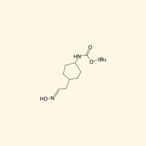 CC(C)(C)OC(=O)NC1CCC(CC=NO)CC1